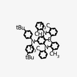 Cc1ccccc1N1c2cc(N(c3ccc(C(C)(C)C)cc3)c3ccc(C(C)(C)C)cc3)cc3c2B(c2cccc(C)c21)c1cccc(C)c1N3c1ccccc1C